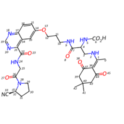 CC(NCC(NC(=O)O)C(=O)NCCCOc1ccc2ncnc(C(=O)NCC(=O)N3CCC[C@H]3C#N)c2c1)=C1C(=O)CC(C)(C)CC1=O